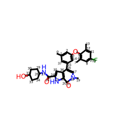 Cc1cc(Oc2c(C)cc(F)cc2C)cc(-c2cn(C)c(=O)c3[nH]c(C(=O)NC4CCC(O)CC4)cc23)c1